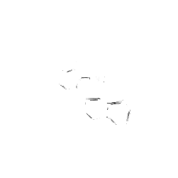 Oc1c(-c2ccc3ccccc3c2)ccc(Br)c1Br